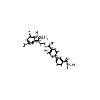 CNC(=O)c1cccc(-c2ccc(C(=O)NCCc3c(C)[nH]c4c(F)cc(Br)cc34)cn2)c1